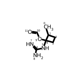 CC1CCC1(NC(=N)N)OC=O